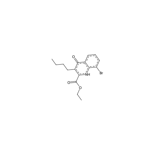 CCCCc1c(C(=O)OCC)[nH]c2c(Br)cccc2c1=O